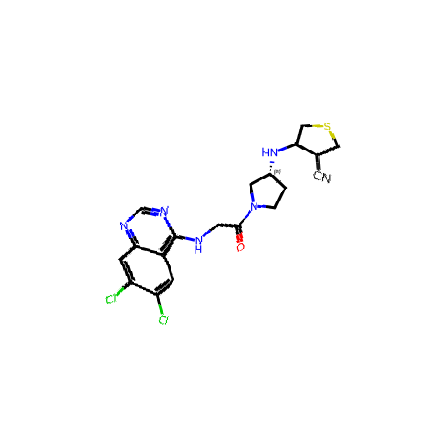 N#CC1CSCC1N[C@@H]1CCN(C(=O)CNc2ncnc3cc(Cl)c(Cl)cc23)C1